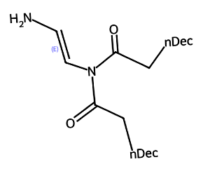 CCCCCCCCCCCC(=O)N(/C=C/N)C(=O)CCCCCCCCCCC